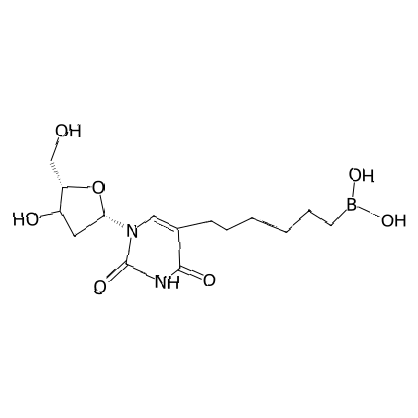 O=c1[nH]c(=O)n([C@@H]2CC(O)[C@H](CO)O2)cc1CCCCCCB(O)O